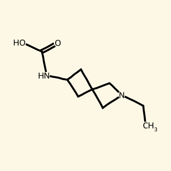 CCN1CC2(CC(NC(=O)O)C2)C1